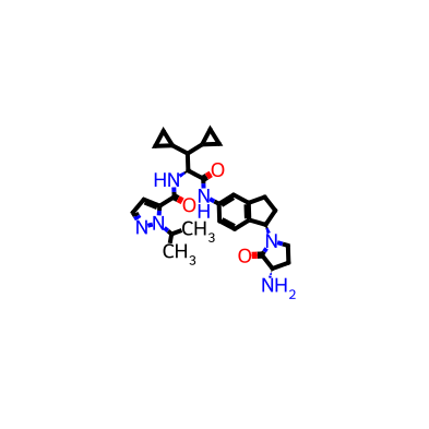 CC(C)n1nccc1C(=O)N[C@H](C(=O)Nc1ccc2c(c1)CC[C@H]2N1CC[C@H](N)C1=O)C(C1CC1)C1CC1